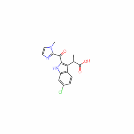 CC(C(=O)O)c1c(C(=O)c2nccn2C)[nH]c2cc(Cl)ccc12